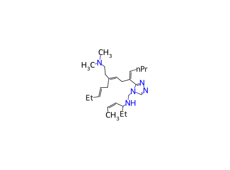 C/C=C\C(CC)NCn1cnnc1/C(=C\CCC)C/C=C(\CC=CCC)CCN(C)C